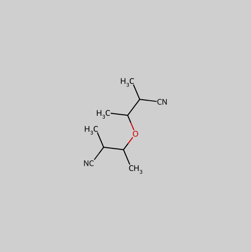 CC(C#N)C(C)OC(C)C(C)C#N